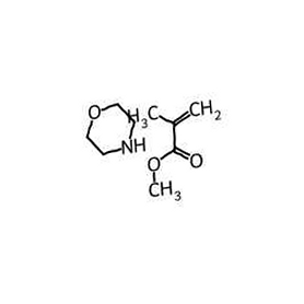 C1COCCN1.C=C(C)C(=O)OC